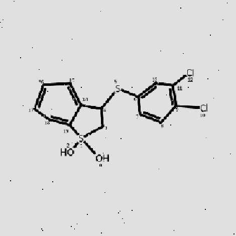 OS1(O)CC(Sc2ccc(Cl)c(Cl)c2)c2ccccc21